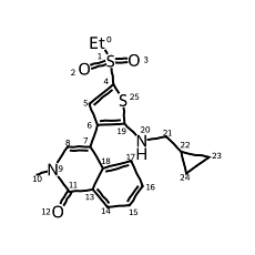 CCS(=O)(=O)c1cc(-c2cn(C)c(=O)c3ccccc23)c(NCC2CC2)s1